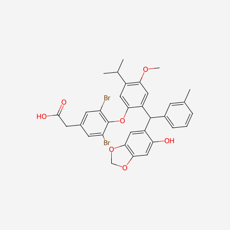 COc1cc(C(c2cccc(C)c2)c2cc3c(cc2O)OCO3)c(Oc2c(Br)cc(CC(=O)O)cc2Br)cc1C(C)C